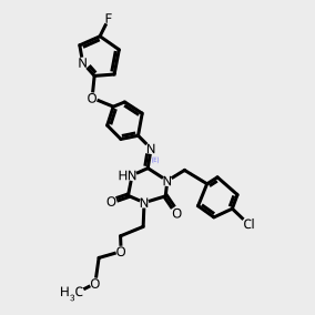 COCOCCn1c(=O)[nH]/c(=N\c2ccc(Oc3ccc(F)cn3)cc2)n(Cc2ccc(Cl)cc2)c1=O